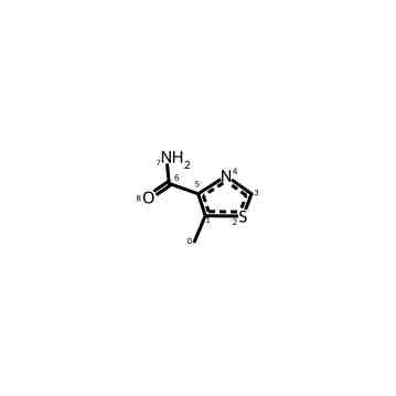 Cc1scnc1C(N)=O